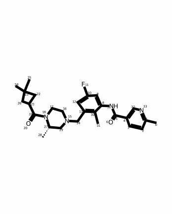 Cc1ccc(C(=O)Nc2cc(F)cc(CN3CCN(C(=O)C4CC(C)(C)C4)[C@@H](C)C3)c2C)cn1